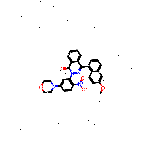 COc1ccc2c(-c3nn(-c4cc(N5CCOCC5)ccc4[N+](=O)[O-])c(=O)c4ccccc34)cccc2c1